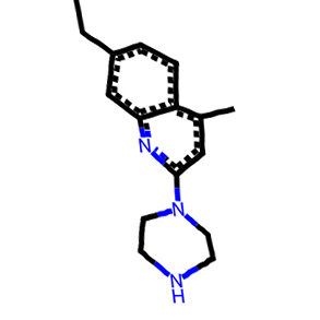 CCc1ccc2c(C)cc(N3CCNCC3)nc2c1